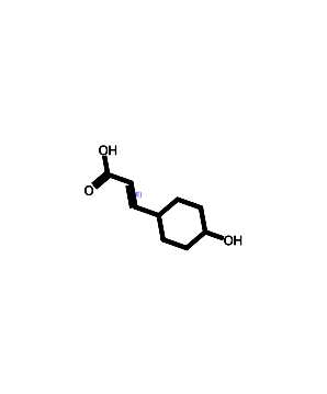 O=C(O)/C=C/C1CCC(O)CC1